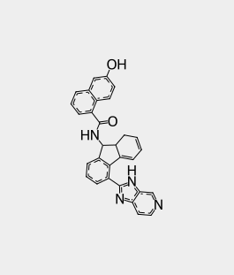 O=C(NC1c2cccc(-c3nc4ccncc4[nH]3)c2C2=CC=CCC21)c1cccc2cc(O)ccc12